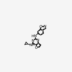 c1cc2nc(Nc3ccc4cnoc4c3)nc(NC3CC3)c2o1